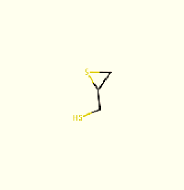 SCC1CS1